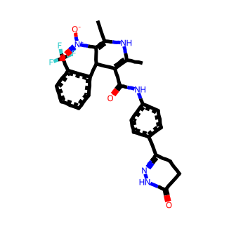 CC1=C(C(=O)Nc2ccc(C3=NNC(=O)CC3)cc2)C(c2ccccc2C(F)(F)F)C([N+](=O)[O-])=C(C)N1